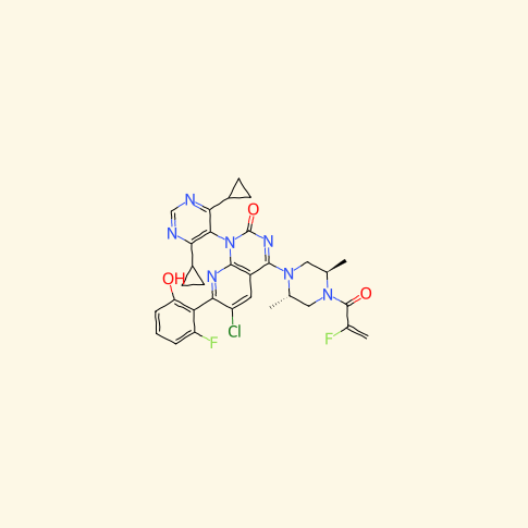 C=C(F)C(=O)N1C[C@H](C)N(c2nc(=O)n(-c3c(C4CC4)ncnc3C3CC3)c3nc(-c4c(O)cccc4F)c(Cl)cc23)C[C@H]1C